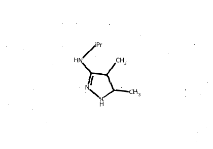 CC(C)NC1=NNC(C)C1C